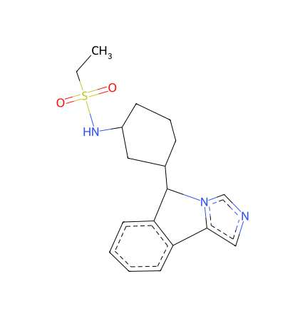 CCS(=O)(=O)NC1CCCC(C2c3ccccc3-c3cncn32)C1